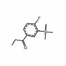 CCC(=O)c1ccc(F)c([Si](C)(C)C)c1